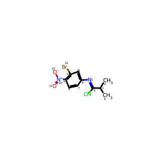 CC(C)C(Cl)=Nc1ccc([N+](=O)[O-])c(Br)c1